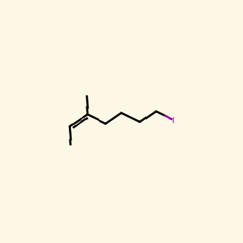 C/C=C(/C)CCCCI